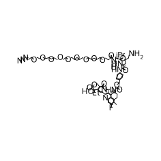 CCC1(O)C(=O)OCc2c1cc1n(c2=O)Cc2c-1nc1cc(F)c(C)c3c1c2[C@@H](NC(=O)OCc1ccc(NC(=O)[C@H](CCCCN)NC(=O)[C@@H](NC(=O)CCOCCOCCOCCOCCOCCOCCOCCOCCOCCN=[N+]=[N-])C(C)C)cc1)CC3